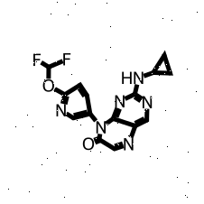 O=c1cnc2cnc(NC3CC3)nc2n1-c1ccc(OC(F)F)nc1